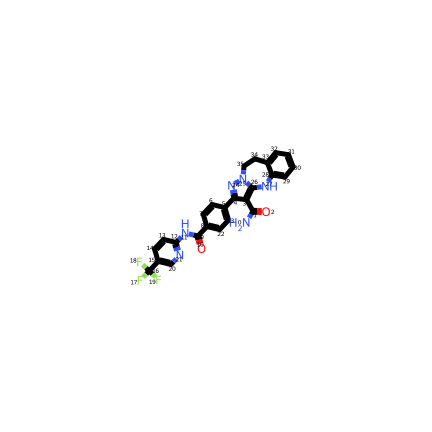 NC(=O)c1c(-c2ccc(C(=O)Nc3ccc(C(F)(F)F)cn3)cc2)nn2c1Nc1ccccc1CC2